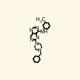 Cc1cccc(Nc2ncnc3cnc(N4CCN(Cc5ccccc5)CC4)nc23)c1